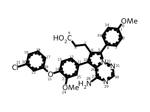 COc1ccc(-c2c(CCC(=O)O)c(-c3ccc(Oc4cccc(Cl)c4)c(OC)c3)c3c(N)ncnn23)cc1